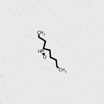 CCCCCCCCC.O=P